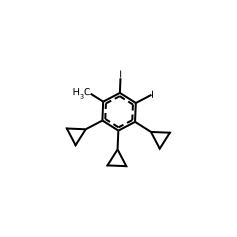 Cc1c(I)c(I)c(C2CC2)c(C2CC2)c1C1CC1